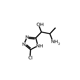 CC(N)C(O)c1nnc(Cl)[nH]1